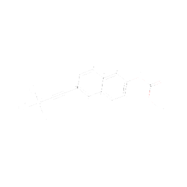 CC(C)(C)OC(=O)Oc1ccc2cc(C#C[Si](C)(C)C)ccc2c1